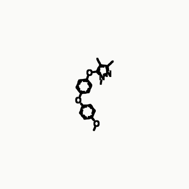 COc1ccc(Oc2ccc(Oc3c(C)c(C)nn3C)cc2)cc1